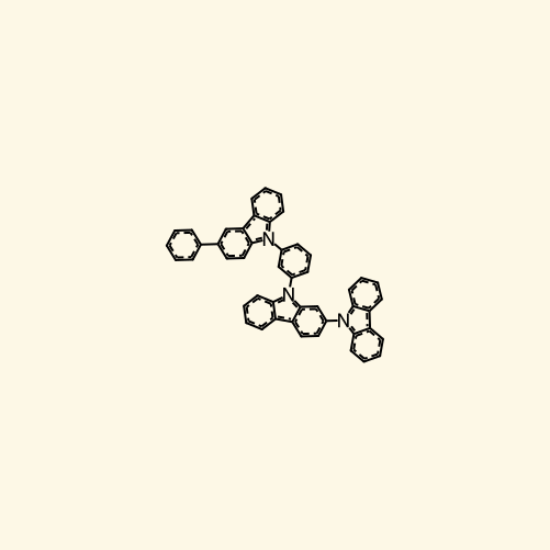 c1ccc(-c2ccc3c(c2)c2ccccc2n3-c2cccc(-n3c4ccccc4c4ccc(-n5c6ccccc6c6ccccc65)cc43)c2)cc1